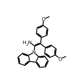 COc1ccc(C(=C(N)n2c3ccccc3c3ccccc32)c2ccc(OC)cc2)cc1